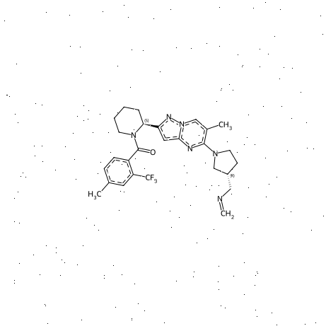 C=NC[C@H]1CCN(c2nc3cc([C@@H]4CCCCN4C(=O)c4ccc(C)cc4C(F)(F)F)nn3cc2C)C1